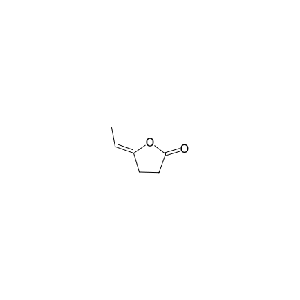 C/C=C1/CCC(=O)O1